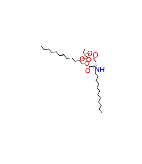 CCCCCCCCCCCCN[C@@H](CC(=O)OS(=O)(=O)CC)C(=O)OCCCCCCCCCCCC